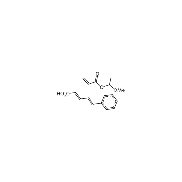 C=CC(=O)OC(C)OC.O=C(O)C=CC=Cc1ccccc1